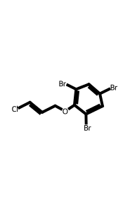 Cl/C=C/COc1c(Br)cc(Br)cc1Br